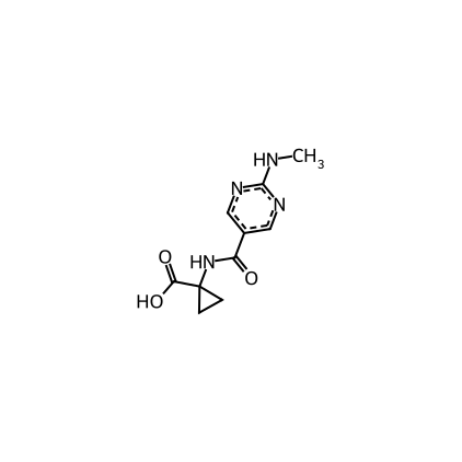 CNc1ncc(C(=O)NC2(C(=O)O)CC2)cn1